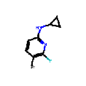 CC(C)c1ccc(NC2CC2)nc1F